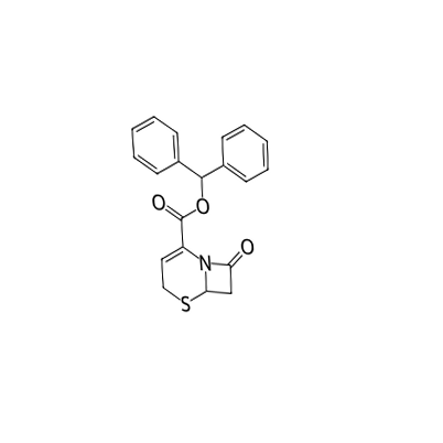 O=C(OC(c1ccccc1)c1ccccc1)C1=CCSC2CC(=O)N12